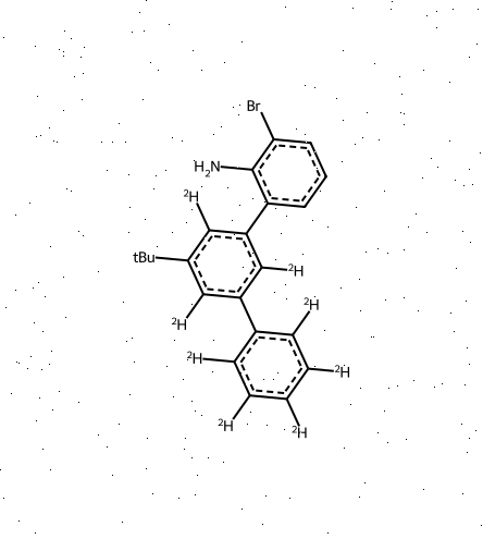 [2H]c1c([2H])c([2H])c(-c2c([2H])c(-c3cccc(Br)c3N)c([2H])c(C(C)(C)C)c2[2H])c([2H])c1[2H]